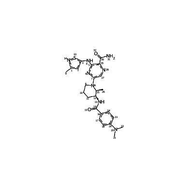 Cc1cc(Nc2nc(N3CCC[C@H](NC(=O)c4ccc(N(C)C)cc4)[C@@H]3C)cnc2C(N)=O)sn1